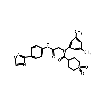 Cc1cc(C)cc(N(CC(=O)Nc2ccc(-c3ncon3)cc2)C(=O)C2CCS(=O)(=O)CC2)c1